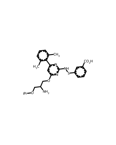 Cc1cccc(C)c1-c1cc(OCC(N)COC(C)C)nc(NSc2cccc(C(=O)O)c2)n1